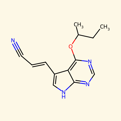 CCC(C)Oc1ncnc2[nH]cc(/C=C/C#N)c12